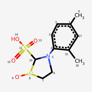 Cc1ccc(N2CC[S+]([O-])C2S(=O)(=O)O)c(C)c1